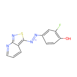 Oc1ccc(/N=N/c2snc3ncccc23)cc1F